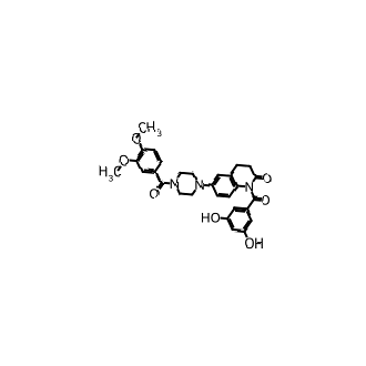 COc1ccc(C(=O)N2CCN(c3ccc4c(c3)CCC(=O)N4C(=O)c3cc(O)cc(O)c3)CC2)cc1OC